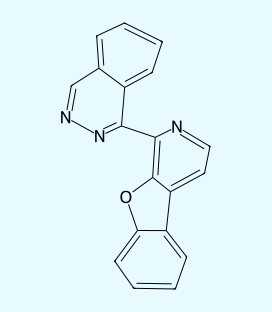 c1ccc2c(-c3nccc4c3oc3ccccc34)nncc2c1